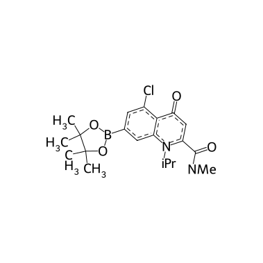 CNC(=O)c1cc(=O)c2c(Cl)cc(B3OC(C)(C)C(C)(C)O3)cc2n1C(C)C